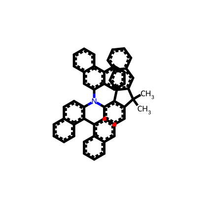 CC1(C)c2cc3ccccc3cc2-c2c(N(c3ccc4ccccc4c3-c3cccc4ccccc34)c3cc4ccccc4c4ccccc34)cccc21